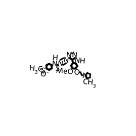 COc1cc2c(cc1OCCN1CCCC1C)[nH]c1ncnc(N3CCN(C(=S)Nc4ccc([S+](C)[O-])cc4)CC3)c12